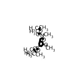 COc1cc(B2OC(C)(C)C(C)(C)O2)cc2cc(N(C)C(=O)OC(C)(C)C)oc12